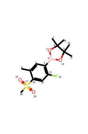 Cc1cc(B2OC(C)(C)C(C)(C)O2)c(F)cc1S(C)(=O)=O